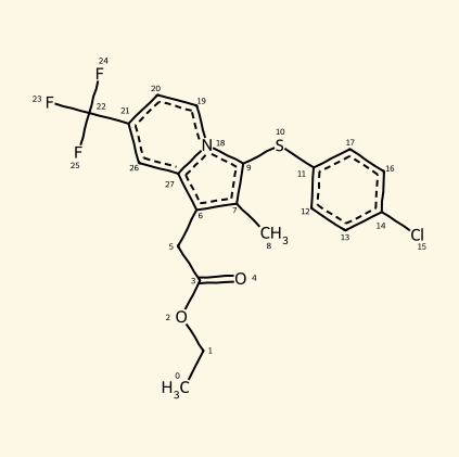 CCOC(=O)Cc1c(C)c(Sc2ccc(Cl)cc2)n2ccc(C(F)(F)F)cc12